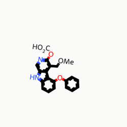 COCc1c(OC(=O)O)ncc2[nH]c3cccc(Oc4ccccc4)c3c12